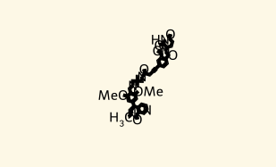 COc1cc(-c2cn(C)c(=O)c3cnccc23)cc(OC)c1CN1CC2(C1)CN(C(=O)CC#Cc1ccc3c(c1)C(=O)N(C1CCC(=O)NC1=O)C3=O)C2